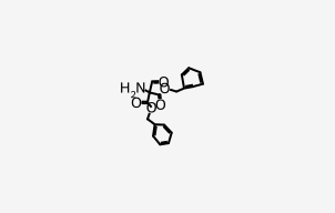 NC(C=O)(C(=O)OCc1ccccc1)C(=O)OCc1ccccc1